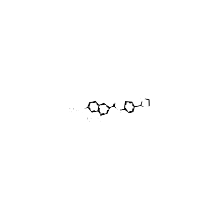 CNc1cc(C(=O)Nc2ccc(C3OCCO3)cc2)cc2ccc(OC)cc12